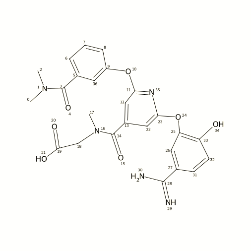 CN(C)C(=O)c1cccc(Oc2cc(C(=O)N(C)CC(=O)O)cc(Oc3cc(C(=N)N)ccc3O)n2)c1